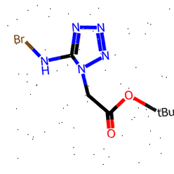 CC(C)(C)OC(=O)Cn1nnnc1NBr